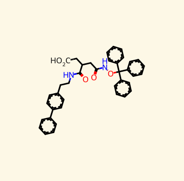 O=C(O)CC(CC(=O)NOC(c1ccccc1)(c1ccccc1)c1ccccc1)C(=O)NCCc1ccc(-c2ccccc2)cc1